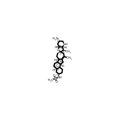 CC1=C2C[C@H]3[C@@H](CC[C@@H]4C[C@H](NS(C)(=O)=O)CC[C@@]43C)[C@@H]2CC[C@@]2(C1)O[C@@H]1C[C@H]([SiH3])CN[C@H]1[C@H]2C